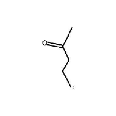 [CH]CCC(C)=O